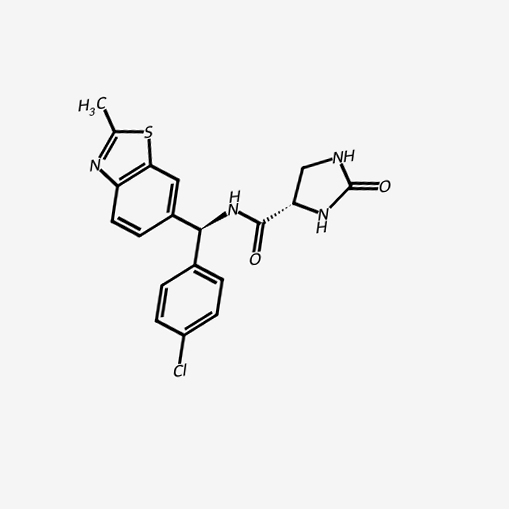 Cc1nc2ccc([C@@H](NC(=O)[C@@H]3CNC(=O)N3)c3ccc(Cl)cc3)cc2s1